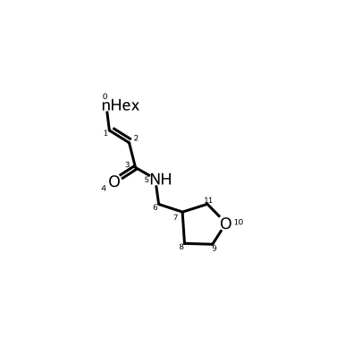 CCCCCC/C=C/C(=O)NCC1CCOC1